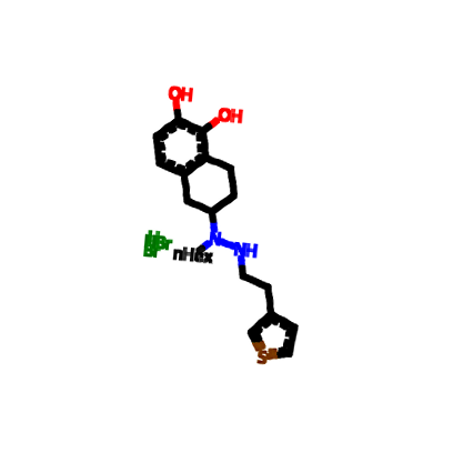 Br.Br.CCCCCCN(NCCc1ccsc1)C1CCc2c(ccc(O)c2O)C1